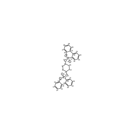 O=P1(OC2CCC(OP3(=O)Oc4ccccc4-c4ccccc43)CC2)Oc2ccccc2-c2ccccc21